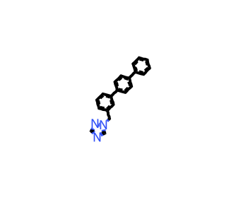 c1ccc(-c2ccc(-c3cccc(Cn4cncn4)c3)cc2)cc1